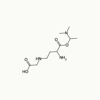 CC(OC(=O)C(N)CCNCC(=O)O)N(C)C